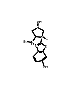 CCCc1ccc2nc([N+]3([O-])CN(CCC)CC3N(CC)CC)sc2c1